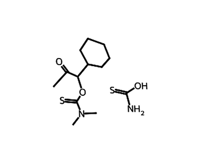 CC(=O)C(OC(=S)N(C)C)C1CCCCC1.NC(O)=S